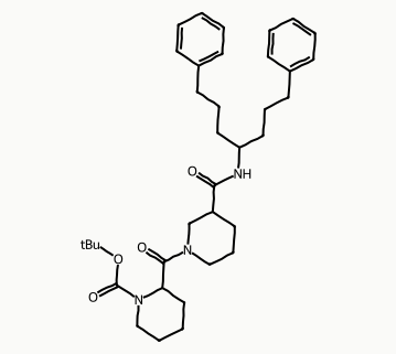 CC(C)(C)OC(=O)N1CCCCC1C(=O)N1CCCC(C(=O)NC(CCCc2ccccc2)CCCc2ccccc2)C1